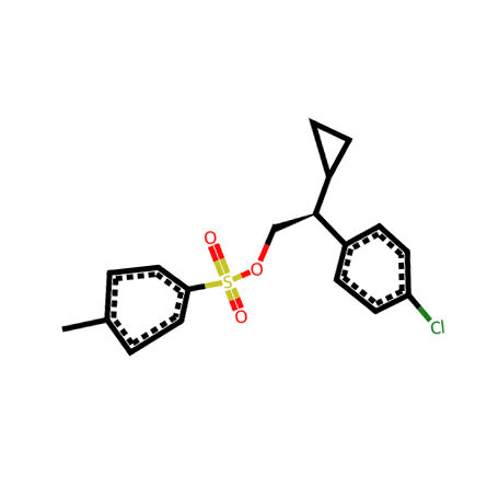 Cc1ccc(S(=O)(=O)OC[C@H](c2ccc(Cl)cc2)C2CC2)cc1